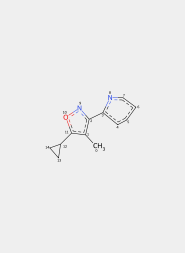 Cc1c(-c2ccccn2)noc1C1CC1